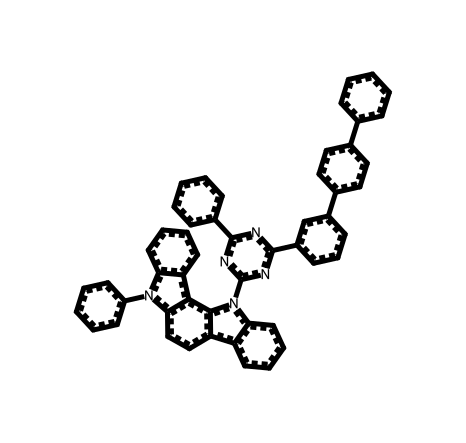 c1ccc(-c2ccc(-c3cccc(-c4nc(-c5ccccc5)nc(-n5c6ccccc6c6ccc7c(c8ccccc8n7-c7ccccc7)c65)n4)c3)cc2)cc1